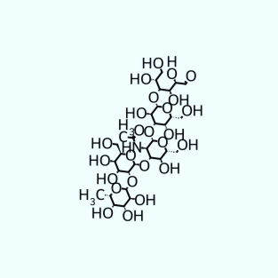 CC(=O)N[C@H]1[C@H](O[C@H]2[C@@H](O)[C@@H](CO)O[C@@H](O[C@@H]([C@H](O)[C@@H](O)C=O)[C@H](O)CO)[C@@H]2O)O[C@H](CO)[C@@H](O)[C@@H]1O[C@@H]1O[C@H](CO)[C@H](O)[C@H](O)[C@H]1O[C@@H]1O[C@@H](C)[C@@H](O)[C@@H](O)[C@@H]1O